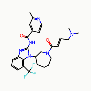 Cc1cc(C(=O)Nc2nc3cccc(C(F)(F)F)c3n2C2CCCCN(C(=O)C=CCN(C)C)C2)ccn1